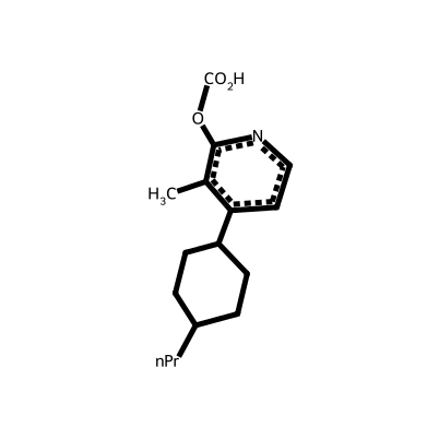 CCCC1CCC(c2ccnc(OC(=O)O)c2C)CC1